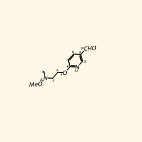 CON(C)CCOc1ccc(C=O)cn1